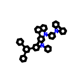 c1ccc(-c2cc(-c3ccccc3)cc(-c3ccc4c(c3)c3cc5c(cc3n4-c3ccccc3)N(c3cccc(-n4c6ccccc6c6ccccc64)c3)c3cccc4cccc-5c34)c2)cc1